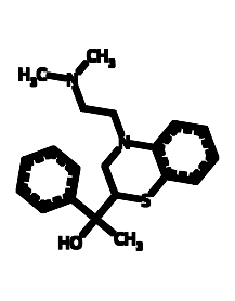 CN(C)CCN1CC(C(C)(O)c2ccccc2)Sc2ccccc21